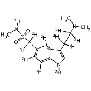 [2H]c1c(C([2H])([2H])S(=O)(=O)N([2H])C)c([2H])c2c(C([2H])([2H])C([2H])([2H])N(C)C)cn([2H])c2c1[2H]